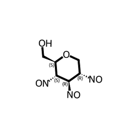 O=N[C@H]1[C@H](N=O)[C@@H](CO)OC[C@@H]1N=O